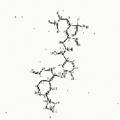 C=C/C(=C\C(=C/C(C)N(C)C)C(F)(F)F)CNC(=O)c1ccc(C)c(NC(/N=C\N=C)=C2/CC=NC(N3CNC3)=N2)c1